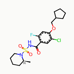 C[C@H]1CCCCN1S(=O)(=O)NC(=O)c1cc(Cl)c(OCC2CCCC2)cc1F